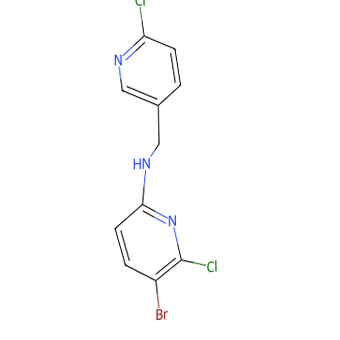 Clc1ccc(CNc2ccc(Br)c(Cl)n2)cn1